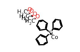 C=O.C=O.C=O.C=O.[Co][Si](c1ccccc1)(c1ccccc1)c1ccccc1